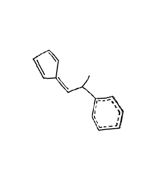 CC(C=C1C=CC=C1)c1ccccc1